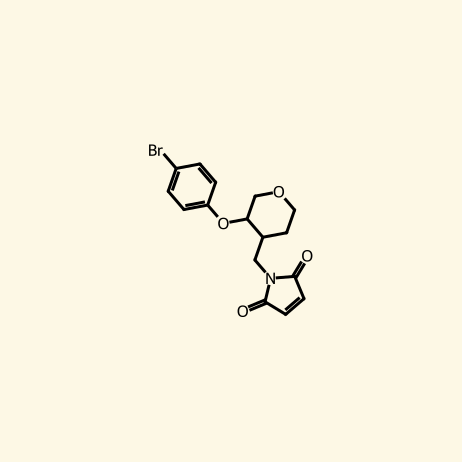 O=C1C=CC(=O)N1CC1CCOCC1Oc1ccc(Br)cc1